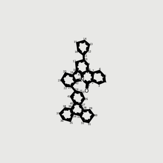 O=c1c2ccccc2c2cc(-c3ccccc3)cc3c4cccc(-c5ccc6c7ccccc7c7ccccc7c6c5)c4n1c23